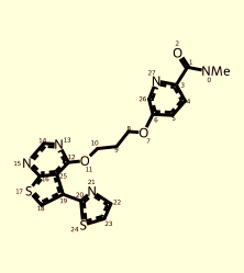 CNC(=O)c1ccc(OCCCOc2ncnc3scc(-c4nccs4)c23)cn1